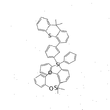 CC1(C)c2ccccc2Sc2c(-c3cccc([Si](c4ccccc4)(c4ccccc4)c4cccc5c4Oc4ccccc4O[Si]5(C)C)c3)cccc21